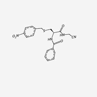 N#CCNC(=O)[C@H](CSCc1ccc([N+](=O)[O-])cc1)NC(=O)c1ccccc1